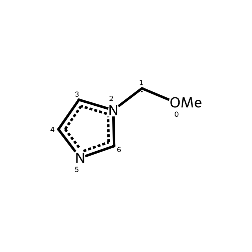 CO[CH]n1ccnc1